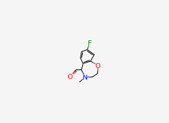 CN1CCOc2cc(F)ccc2C1C=O